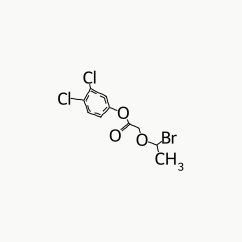 CC(Br)OCC(=O)Oc1ccc(Cl)c(Cl)c1